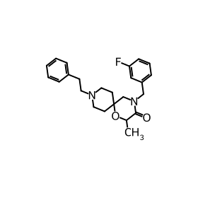 CC1OC2(CCN(CCc3ccccc3)CC2)CN(Cc2cccc(F)c2)C1=O